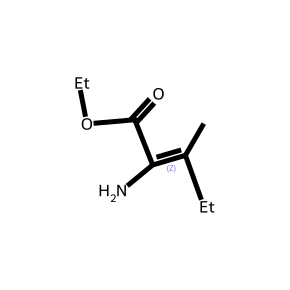 CCOC(=O)/C(N)=C(\C)CC